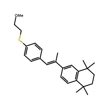 COCCSc1ccc(/C=C(\C)c2ccc3c(c2)C(C)(C)CCC3(C)C)cc1